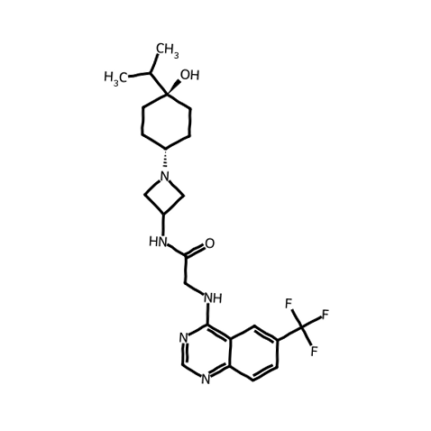 CC(C)[C@]1(O)CC[C@H](N2CC(NC(=O)CNc3ncnc4ccc(C(F)(F)F)cc34)C2)CC1